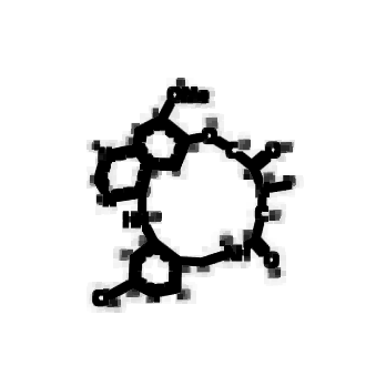 COc1cc2ncnc3c2cc1OCC(=O)N(C)CC(=O)NCc1ccc(Cl)cc1N3